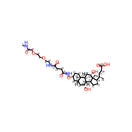 CNC(=O)COCCOCCNC(=O)CCC(=O)NO[C@H]1CC[C@@]2(C)[C@@H](C1)C[C@@H](O)[C@H]1C3CC[C@H]([C@H](C)CCC(=O)O)[C@@]3(C)[C@@H](O)C[C@@H]12